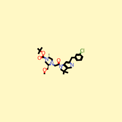 COC[C@H]1CN(C(=O)OC(C)(C)C)[C@H](C)CN1CC(=O)N1CC(C)(C)c2cnc(Cc3cccc(Cl)c3)cc21